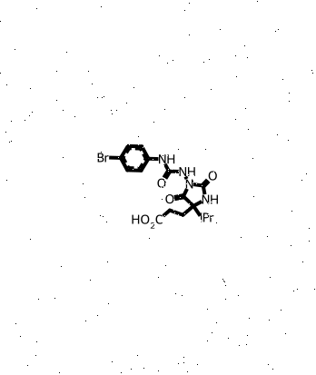 CC(C)C1(CCC(=O)O)NC(=O)N(NC(=O)Nc2ccc(Br)cc2)C1=O